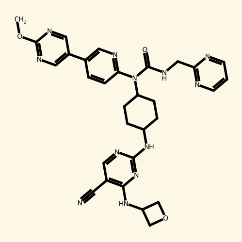 COc1ncc(-c2ccc(N(C(=O)NCc3ncccn3)C3CCC(Nc4ncc(C#N)c(NC5COC5)n4)CC3)nc2)cn1